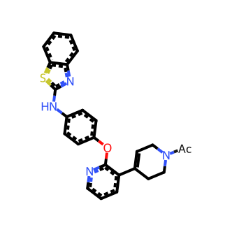 CC(=O)N1CC=C(c2cccnc2Oc2ccc(Nc3nc4ccccc4s3)cc2)CC1